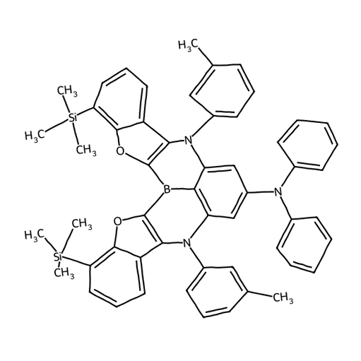 Cc1cccc(N2c3cc(N(c4ccccc4)c4ccccc4)cc4c3B(c3oc5c([Si](C)(C)C)cccc5c32)c2oc3c([Si](C)(C)C)cccc3c2N4c2cccc(C)c2)c1